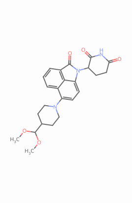 COC(OC)C1CCN(c2ccc3c4c(cccc24)C(=O)N3C2CCC(=O)NC2=O)CC1